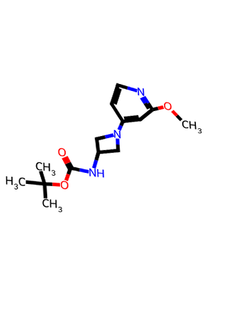 COc1cc(N2CC(NC(=O)OC(C)(C)C)C2)ccn1